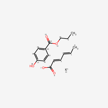 C/C=C/C=C/C(=O)[O-].CCCOC(=O)c1ccc(O)cc1.[K+]